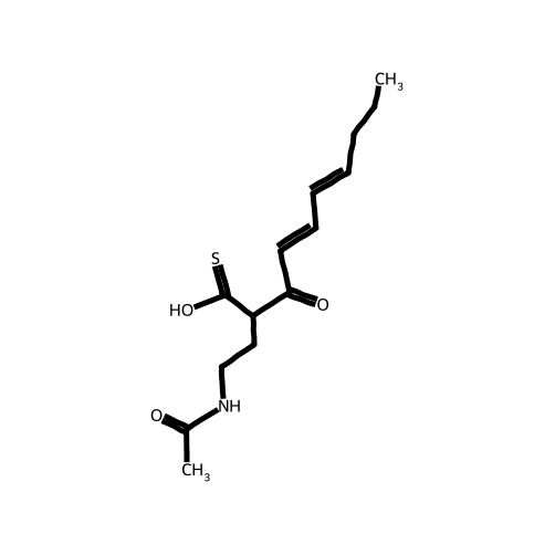 CCC/C=C/C=C/C(=O)C(CCNC(C)=O)C(O)=S